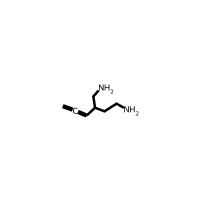 C=C=CC(CN)CCN